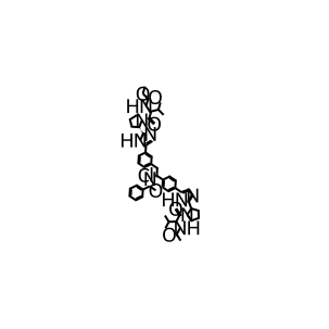 COC(=O)N[C@H](C(=O)N1CCC[C@H]1c1ncc(-c2ccc(Cl)c(CC3=NC(c4ccccc4)Oc4cc(-c5cnc(C6CCCN6C(=O)[C@@H](NC(C)=O)C(C)C)[nH]5)ccc43)c2)[nH]1)C(C)C